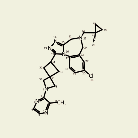 Cc1nccnc1N1CC2(CC(c3nnc4n3-c3ccc(Cl)cc3CN(CC3(F)CC3)C4)C2)C1